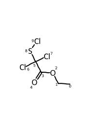 CCOC(=O)C(Cl)(Cl)SCl